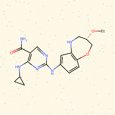 CCO[C@H]1CNc2cc(Nc3ncc(C(N)=O)c(NC4CC4)n3)ccc2OC1